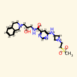 CS(=O)(=O)CCN1CC(Nc2cc(C(=O)NC[C@H](O)CN3CCc4ccccc4C3)ncn2)C1